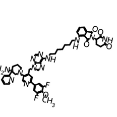 COc1c(F)cc(-c2cc(Cn3cnc4c(NCCCCCCCNc5cccc6c5C(=O)N(C5CCC(=O)NC5=O)C6=O)ncnc43)c(N3CCC[C@@](N)(c4ccccn4)C3)cn2)cc1F